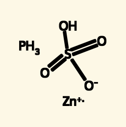 O=S(=O)([O-])O.P.[Zn+]